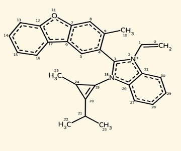 C=C[n+]1c(-c2cc3c(cc2C)oc2ccccc23)n(C2=C(C(C)C)C2C)c2ccccc21